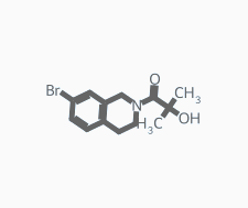 CC(C)(O)C(=O)N1CCc2ccc(Br)cc2C1